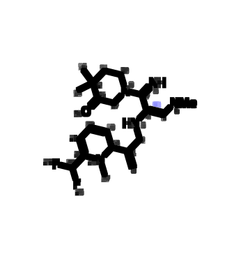 C=C(CN/C(=C/NC)C(=N)N1CCC(C)(C)C(=O)C1)C1C=CC=C(C(F)F)N1C